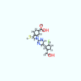 CSc1cn(-c2ncc(-c3cc(C(C)O)ccc3F)cn2)c2cc(C(=O)O)ccc12